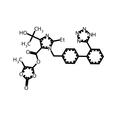 CCc1nc(C(C)(C)O)c(C(=O)Oc2oc(=O)oc2C)n1Cc1ccc(-c2ccccc2-c2nnn[nH]2)cc1